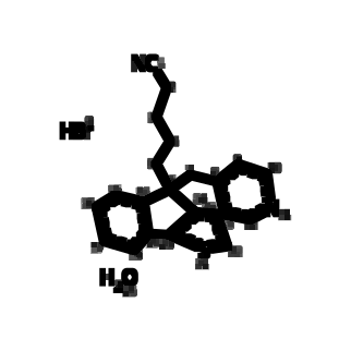 Br.N#CCCCCC1(Cc2ccncc2)c2ccccc2-c2sccc21.O